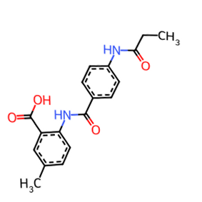 CCC(=O)Nc1ccc(C(=O)Nc2ccc(C)cc2C(=O)O)cc1